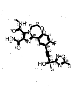 CNC(=O)c1c(C(N)=O)nc2n1CCOc1cc(F)c(C#C[C@@](C)(O)c3noc(C)n3)cc1-2